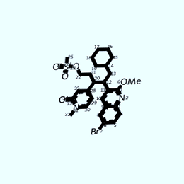 COc1nc2ccc(Br)cc2cc1C(CC1CCCCC1)C(CCOS(C)(=O)=O)c1ccn(C)c(=O)c1